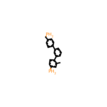 Cc1cc(P)ccc1-c1cccc(-c2ccc(CP)cc2)c1